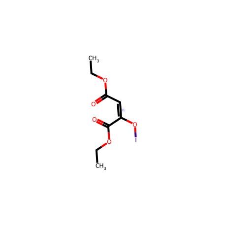 CCOC(=O)/C=C(/OI)C(=O)OCC